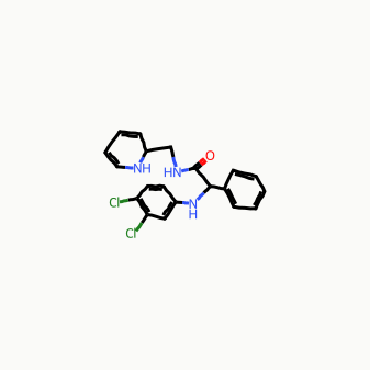 O=C(NCC1C=CC=CN1)C(Nc1ccc(Cl)c(Cl)c1)c1ccccc1